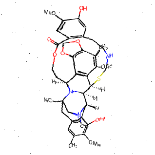 COc1cc2c(cc1O)CCNCS[C@@H]1c3c(OC(C)=O)c(C)c4c(c3[C@H](COC2=O)N2[C@@H]1[C@@H]1c3c(cc(C)c(OC)c3O)CC2(C#N)CN1C)OCO4